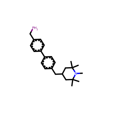 CN1C(C)(C)CC(Cc2ccc(-c3ccc(CP)cc3)cc2)CC1(C)C